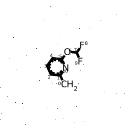 [CH2]c1cccc(OC(F)F)n1